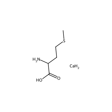 CSCCC(N)C(=O)O.[CaH2]